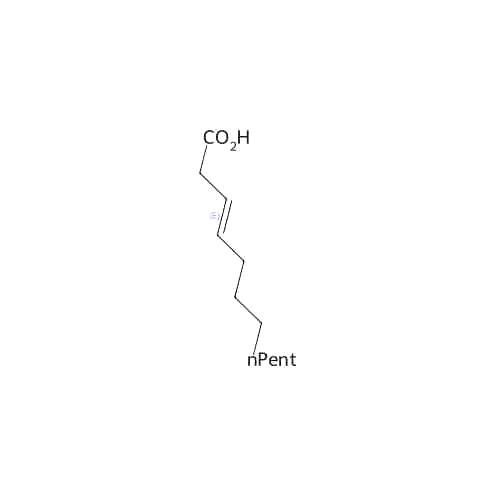 CCCCCCCC/C=C/CC(=O)O